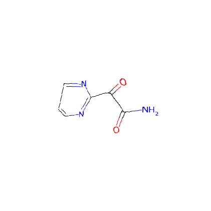 NC(=O)C(=O)c1ncccn1